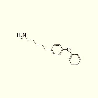 NCCCCCc1ccc(Oc2ccccc2)cc1